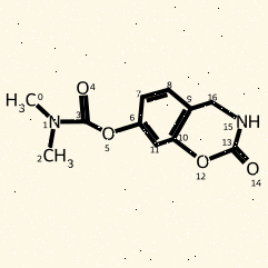 CN(C)C(=O)Oc1ccc2c(c1)OC(=O)NC2